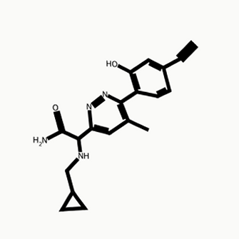 C#Cc1ccc(-c2nnc(C(NCC3CC3)C(N)=O)cc2C)c(O)c1